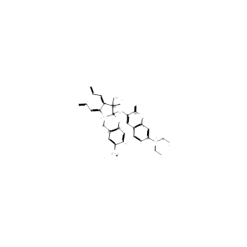 C=C/C=C1\C(=C/C=C)N2Cc3cc([N+](=O)[O-])ccc3OC2(Bc2cc3ccc(N(CC)CC)cc3oc2=O)C1(C)C